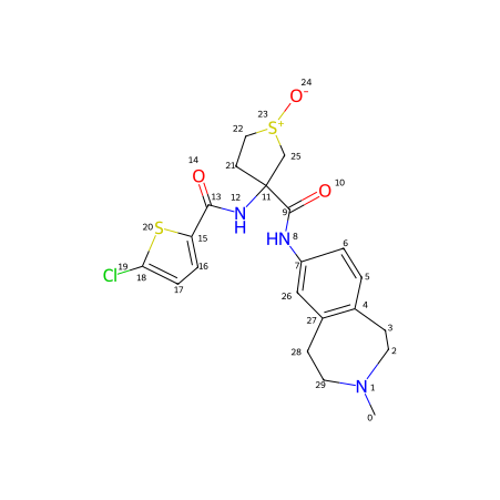 CN1CCc2ccc(NC(=O)C3(NC(=O)c4ccc(Cl)s4)CC[S+]([O-])C3)cc2CC1